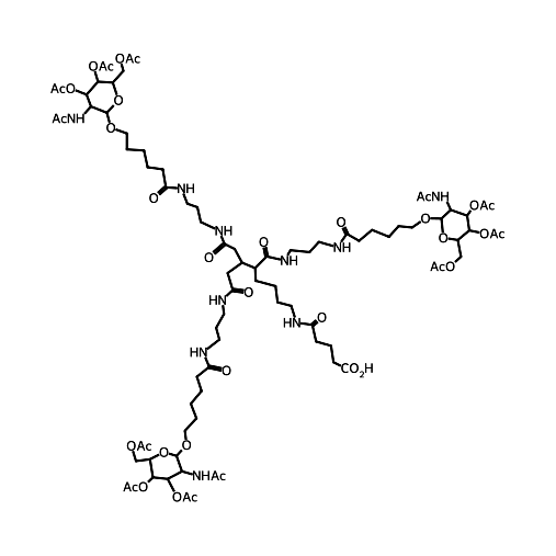 CC(=O)NC1C(OCCCCCC(=O)NCCCNC(=O)CC(CC(=O)NCCCNC(=O)CCCCCOC2OC(COC(C)=O)C(OC(C)=O)C(OC(C)=O)C2NC(C)=O)C(CCCCNC(=O)CCCC(=O)O)C(=O)NCCCNC(=O)CCCCCOC2OC(COC(C)=O)C(OC(C)=O)C(OC(C)=O)C2NC(C)=O)OC(COC(C)=O)C(OC(C)=O)C1OC(C)=O